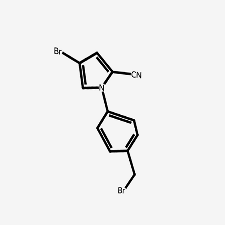 N#Cc1cc(Br)cn1-c1ccc(CBr)cc1